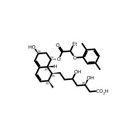 CCC(Oc1cc(C)ccc1C)C(=O)O[C@H]1C[C@H](O)C=C2C=C[C@H](C)[C@H](CCC(O)C[C@@H](O)CC(=O)O)[C@H]21